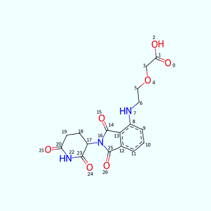 O=C(O)COCCNc1cccc2c1C(=O)N(C1CCC(=O)NC1=O)C2=O